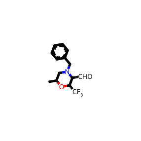 CC1CN(Cc2ccccc2)C(C=O)C(C(F)(F)F)O1